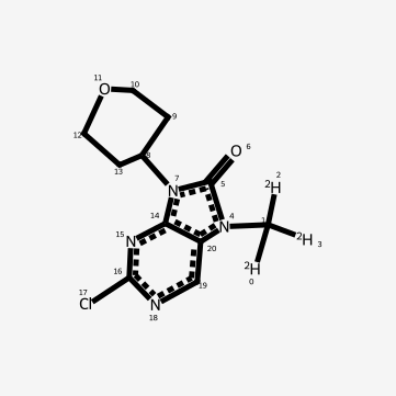 [2H]C([2H])([2H])n1c(=O)n(C2CCOCC2)c2nc(Cl)ncc21